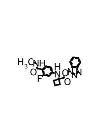 CNC(=O)c1ccc(NC2(C(=O)On3nnc4ccccc43)CCC2)cc1F